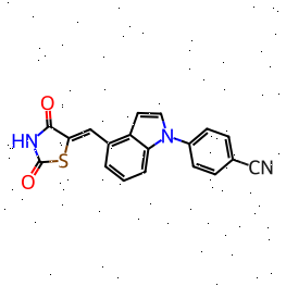 N#Cc1ccc(-n2ccc3c(C=C4SC(=O)NC4=O)cccc32)cc1